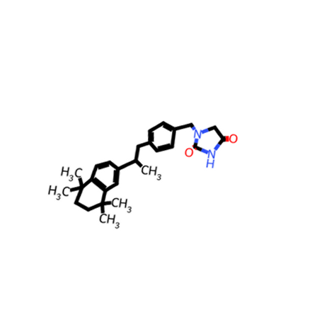 CC(Cc1ccc(CN2CC(=O)NC2=O)cc1)c1ccc2c(c1)C(C)(C)CCC2(C)C